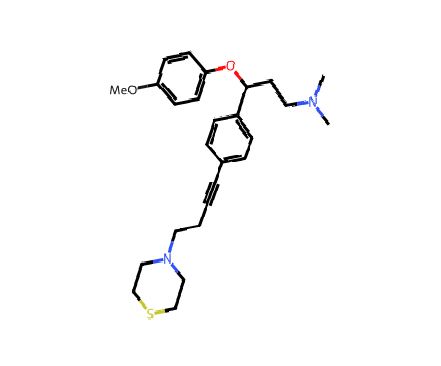 COc1ccc(OC(CCN(C)C)c2ccc(C#CCCN3CCSCC3)cc2)cc1